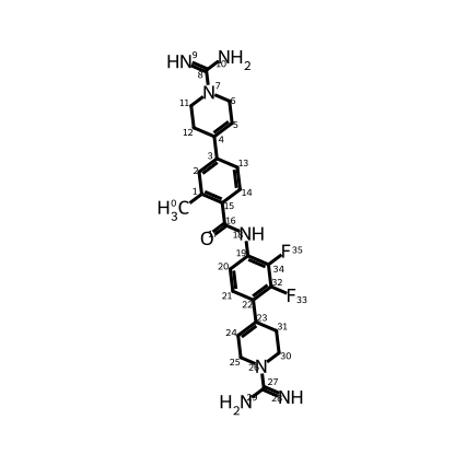 Cc1cc(C2=CCN(C(=N)N)CC2)ccc1C(=O)Nc1ccc(C2=CCN(C(=N)N)CC2)c(F)c1F